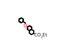 CCOC(=O)C1CCc2cc(OCc3ccccc3)ccc2C1